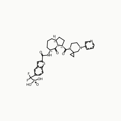 O=C(N[C@H]1CCC[C@H]2CC[C@@H](C(=O)N3CCN(c4cccnc4)CC34CC4)N2C1=O)c1cc2cc(C(F)(F)P(=O)(O)O)ccc2s1